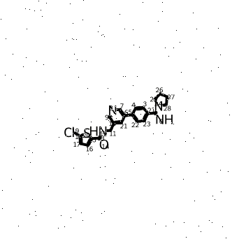 N=C(c1ccc(-c2cncc(CNC(=O)c3ccc(Cl)s3)c2)cc1)N1CCCC1